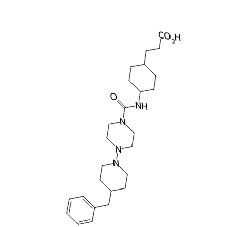 O=C(O)CCC1CCC(NC(=O)N2CCN(N3CCC(Cc4ccccc4)CC3)CC2)CC1